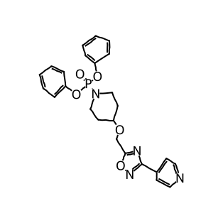 O=P(Oc1ccccc1)(Oc1ccccc1)N1CCC(OCc2nc(-c3ccncc3)no2)CC1